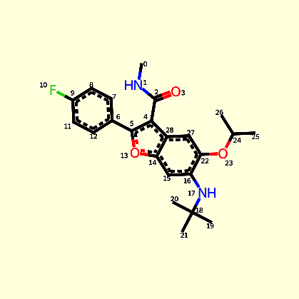 CNC(=O)c1c(-c2ccc(F)cc2)oc2cc(NC(C)(C)C)c(OC(C)C)cc12